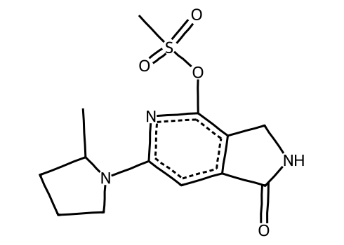 CC1CCCN1c1cc2c(c(OS(C)(=O)=O)n1)CNC2=O